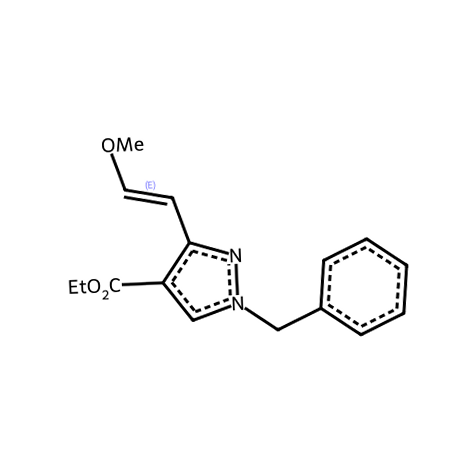 CCOC(=O)c1cn(Cc2ccccc2)nc1/C=C/OC